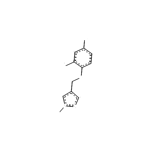 CC(C)c1ccc(OCc2cnn(C(C)C)c2)c(Cl)c1